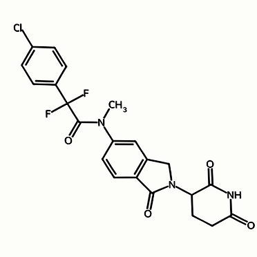 CN(C(=O)C(F)(F)c1ccc(Cl)cc1)c1ccc2c(c1)CN(C1CCC(=O)NC1=O)C2=O